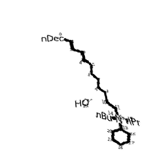 CCCCCCCCCCCCCCCCCCCCC[N+](CCC)(CCCC)C1CCCCC1.[OH-]